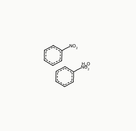 O.O=[N+]([O-])c1ccccc1.O=[N+]([O-])c1ccccc1